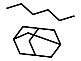 C1C2CC3CC1CC(C2)C3.CCCCCC